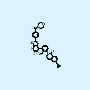 CC(=O)OCc1c(-c2ccnc3[nH]c(-c4ccc(C(=O)N5CCOCC5)cc4)nc23)cccc1N1CCc2cc(C3CC3)ccc2C1=O